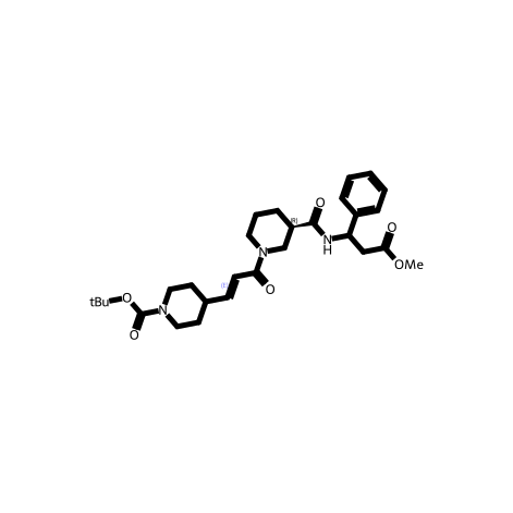 COC(=O)CC(NC(=O)[C@@H]1CCCN(C(=O)/C=C/C2CCN(C(=O)OC(C)(C)C)CC2)C1)c1ccccc1